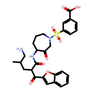 CC(CN)CC(C(=O)NC1CCCN(S(=O)(=O)c2cccc(C(=O)O)c2)CC1=O)C(=O)c1cc2ccccc2o1